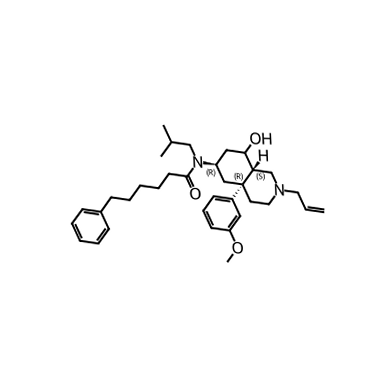 C=CCN1CC[C@@]2(c3cccc(OC)c3)C[C@@H](N(CC(C)C)C(=O)CCCCCc3ccccc3)CC(O)[C@@H]2C1